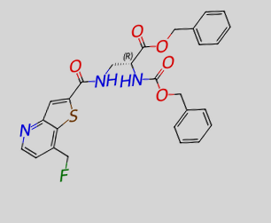 O=C(N[C@H](CNC(=O)c1cc2nccc(CF)c2s1)C(=O)OCc1ccccc1)OCc1ccccc1